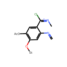 C=Nc1cc(OCC)c(OC(C)=O)cc1/C(Cl)=N\C